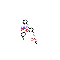 CCOC(=O)CCCc1ccc(C(Cc2ccccc2)NS(=O)(=O)c2ccc(Cl)cc2)cc1